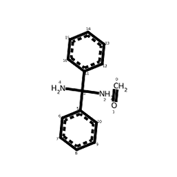 C=O.NC(N)(c1ccccc1)c1ccccc1